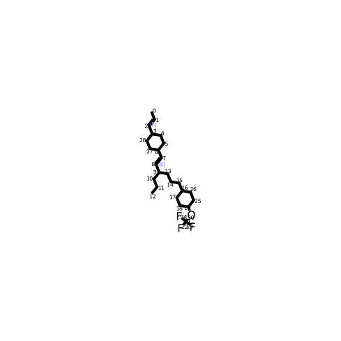 C/C=C/C1CCC(/C=C/C(CCC)CCCC2CCC(OC(F)(F)F)CC2)CC1